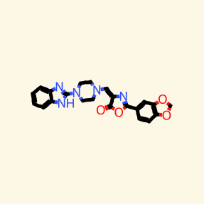 O=C1OC(c2ccc3c(c2)OCO3)=N/C1=C/N1CCN(c2nc3ccccc3[nH]2)CC1